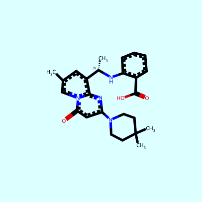 Cc1cc([C@H](C)Nc2ccccc2C(=O)O)c2nc(N3CCC(C)(C)CC3)cc(=O)n2c1